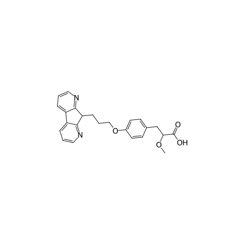 COC(Cc1ccc(OCCCC2c3ncccc3-c3cccnc32)cc1)C(=O)O